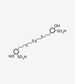 O=S(=O)(O)c1cc(CCCSCCSSCCSCCCc2ccc(O)c(S(=O)(=O)O)c2)ccc1O